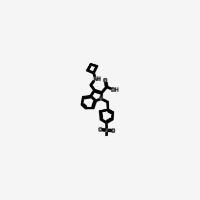 CS(=O)(=O)c1ccc(Cn2c(C(=O)O)c(CNC3CCC3)c3ccccc32)cc1